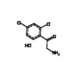 Cl.NCC(=O)c1ccc(Cl)cc1Cl